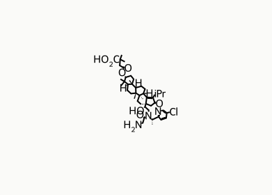 CC(C)C1=C2[C@H]3CC[C@@H]4[C@@]5(C)CC[C@H](OC(=O)CC(C)(C)C(=O)O)C(C)(C)[C@@H]5CC[C@@]4(C)[C@]3(C)CC[C@@]2([C@@H](O)CN(C(=O)CN)[C@@H](C)c2ccc(Cl)cn2)CC1=O